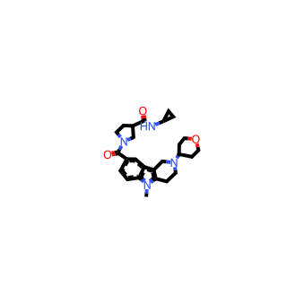 Cn1c2c(c3cc(C(=O)N4CCC(C(=O)NC5CC5)C4)ccc31)CN(C1CCOCC1)CC2